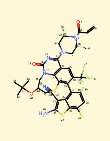 C=CC(=O)N1[C@H](C)CN(c2nc(=O)n3c4c(c(-c5c(F)cc(F)c6sc(N)c(C#N)c56)c(C(F)(F)F)cc24)SCC(OC(C)(C)C)C3)C[C@@H]1C